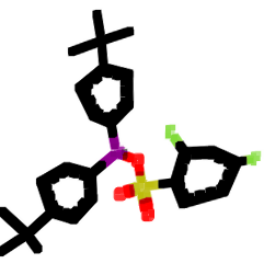 CC(C)(C)c1ccc([I+](OS(=O)(=O)c2ccc(F)cc2F)c2ccc(C(C)(C)C)cc2)cc1